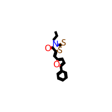 CCCN1C(=O)C(=Cc2ccc(-c3ccccc3)o2)SC1=S